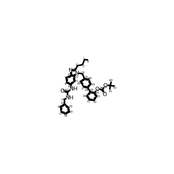 CCCCc1nc2ccc(NC(=O)NCc3ccccc3)cc2n1Cc1ccc(-c2ccccc2OC(=O)OC(C)(C)C)cc1